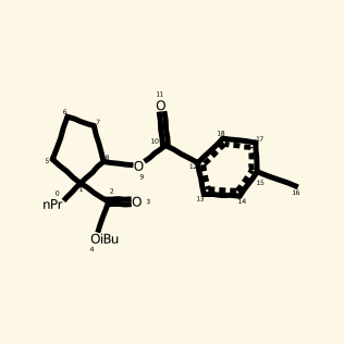 CCCC1(C(=O)OCC(C)C)CCCC1OC(=O)c1ccc(C)cc1